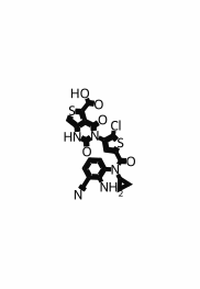 N#Cc1cccc(N(C(=O)c2cc(-n3c(=O)[nH]c4csc(C(=O)O)c4c3=O)c(Cl)s2)C2CC2)c1N